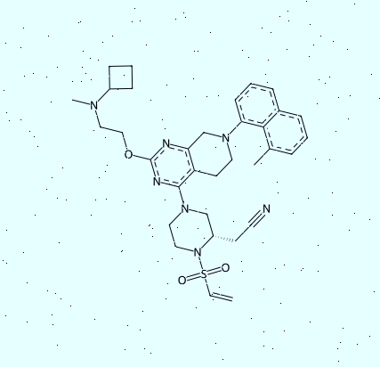 C=CS(=O)(=O)N1CCN(c2nc(OCCN(C)C3CCC3)nc3c2CCN(c2cccc4cccc(C)c24)C3)C[C@@H]1CC#N